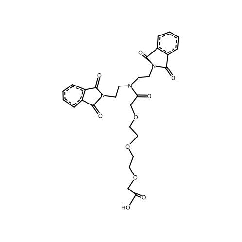 O=C(O)COCCOCCOCC(=O)N(CCN1C(=O)c2ccccc2C1=O)CCN1C(=O)c2ccccc2C1=O